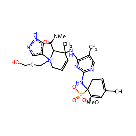 CNC(=O)C1C(C)(Nc2nc(NC3(P(=O)([O-])O)CC=C(C)C=C3OC)ncc2C(F)(F)F)C=CC[N+]1(CCCO)c1cn[nH]c1